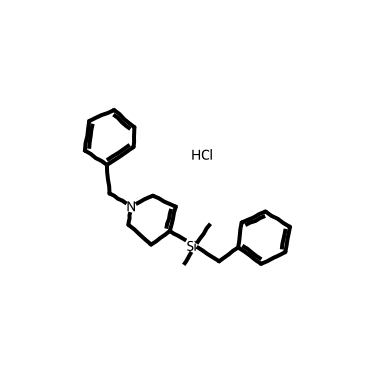 C[Si](C)(Cc1ccccc1)C1=CCN(Cc2ccccc2)CC1.Cl